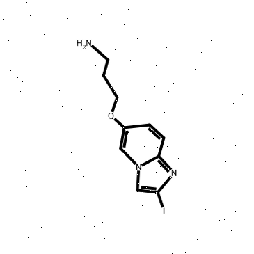 NCCCOc1ccc2nc(I)cn2c1